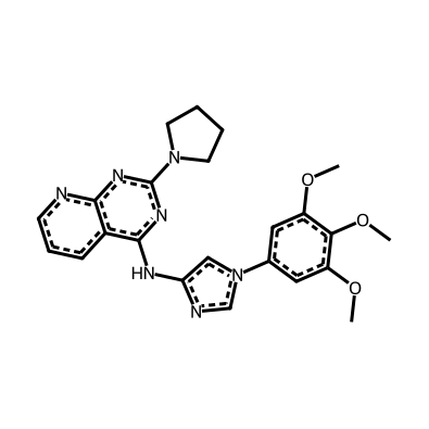 COc1cc(-n2cnc(Nc3nc(N4CCCC4)nc4ncccc34)c2)cc(OC)c1OC